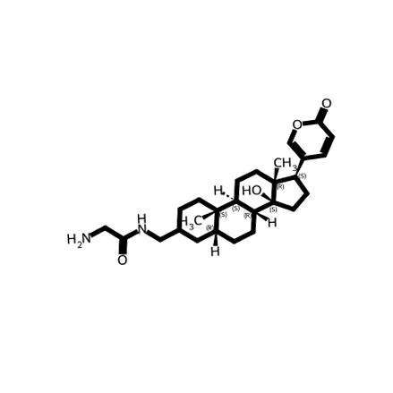 C[C@]12CCC(CNC(=O)CN)C[C@H]1CC[C@@H]1[C@@H]2CC[C@]2(C)[C@@H](c3ccc(=O)oc3)CC[C@]12O